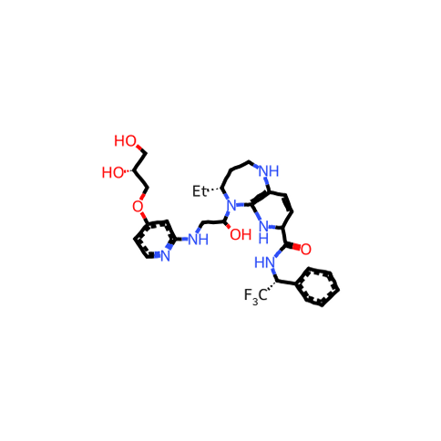 CC[C@@H]1CCNC2=C(NC(C(=O)N[C@H](c3ccccc3)C(F)(F)F)C=C2)N1C(O)CNc1cc(OC[C@H](O)CO)ccn1